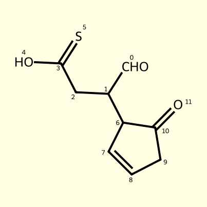 O=CC(CC(O)=S)C1C=CCC1=O